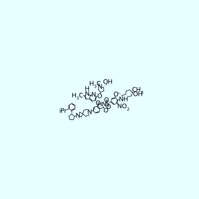 Cc1cc2cc(Oc3cc(N4CCC5(CC4)CN(C4CCC[C@H]4c4ccccc4C(C)C)C5)ccc3C(=O)NS(=O)(=O)c3cc4c(c([N+](=O)[O-])c3)N[C@@H]([C@H]3CC[C@](C)(O)CC3)CO4)c(O[C@@H]3C[C@@H](CO)N(C)C3)nc2[nH]1